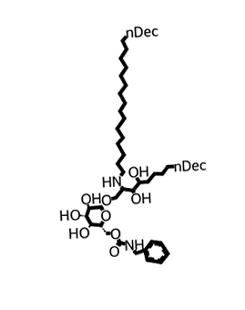 CCCCCCCCCCCCCCCCCCCCCCCCCCNC(CO[C@H]1O[C@H](COC(=O)NCc2ccccc2)[C@H](O)[C@H](O)[C@H]1O)C(O)C(O)CCCCCCCCCCCCCC